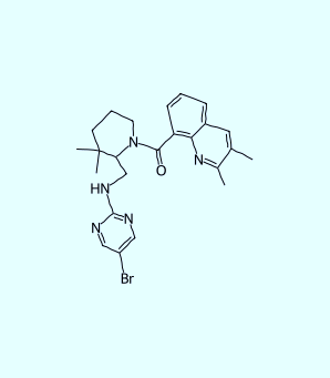 Cc1cc2cccc(C(=O)N3CCCC(C)(C)C3CNc3ncc(Br)cn3)c2nc1C